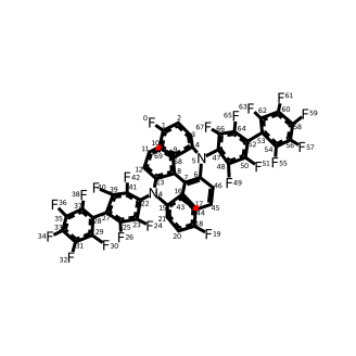 Fc1ccc(N(C2=C(c3ccccc3N(c3ccc(F)cc3)c3c(F)c(F)c(-c4c(F)c(F)c(F)c(F)c4F)c(F)c3F)CCC=C2)c2c(F)c(F)c(-c3c(F)c(F)c(F)c(F)c3F)c(F)c2F)cc1